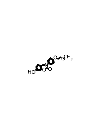 COCCOc1ccc(N2Cc3ccc(O)cc3OC2=O)cc1